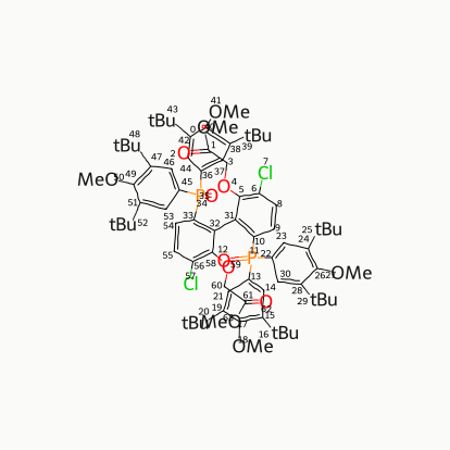 COC(=O)COc1c(Cl)ccc(P(=O)(c2cc(C(C)(C)C)c(OC)c(C(C)(C)C)c2)c2cc(C(C)(C)C)c(OC)c(C(C)(C)C)c2)c1-c1c(P(=O)(c2cc(C(C)(C)C)c(OC)c(C(C)(C)C)c2)c2cc(C(C)(C)C)c(OC)c(C(C)(C)C)c2)ccc(Cl)c1OCC(=O)OC